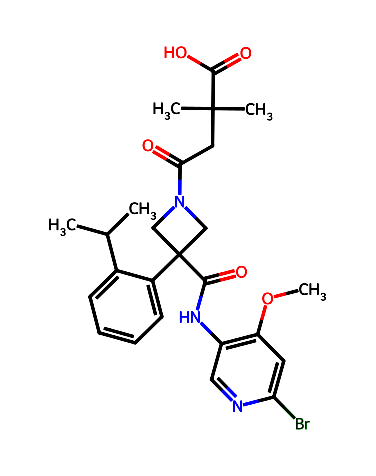 COc1cc(Br)ncc1NC(=O)C1(c2ccccc2C(C)C)CN(C(=O)CC(C)(C)C(=O)O)C1